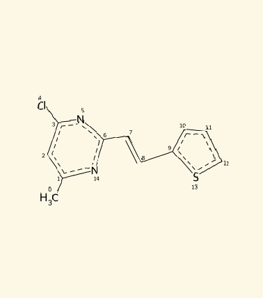 Cc1cc(Cl)nc(C=Cc2cccs2)n1